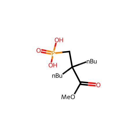 CCCCC(CCCC)(CP(=O)(O)O)C(=O)OC